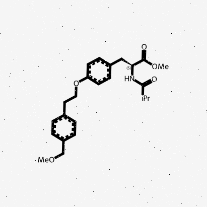 COCc1ccc(CCOc2ccc(C[C@H](NC(=O)C(C)C)C(=O)OC)cc2)cc1